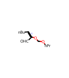 CCCC/C=C(\C=O)OCOCCC